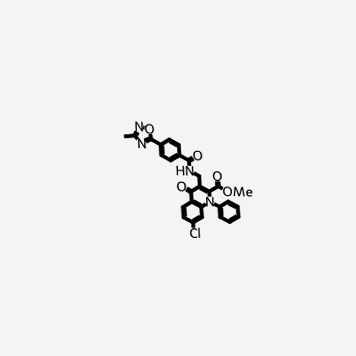 COC(=O)c1c(CNC(=O)c2ccc(-c3nc(C)no3)cc2)c(=O)c2ccc(Cl)cc2n1-c1ccccc1